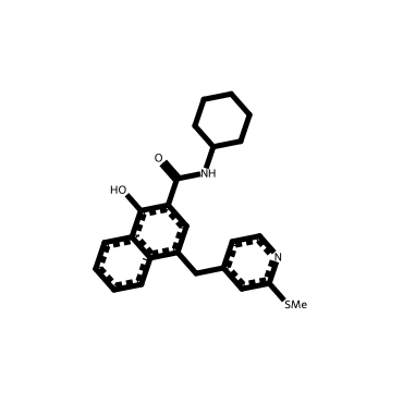 CSc1cc(Cc2cc(C(=O)NC3CCCCC3)c(O)c3ccccc23)ccn1